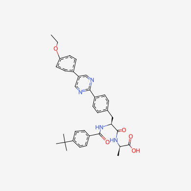 CCOc1ccc(-c2cnc(-c3ccc(C[C@H](NC(=O)c4ccc(C(C)(C)C)cc4)C(=O)N[C@H](C)C(=O)O)cc3)nc2)cc1